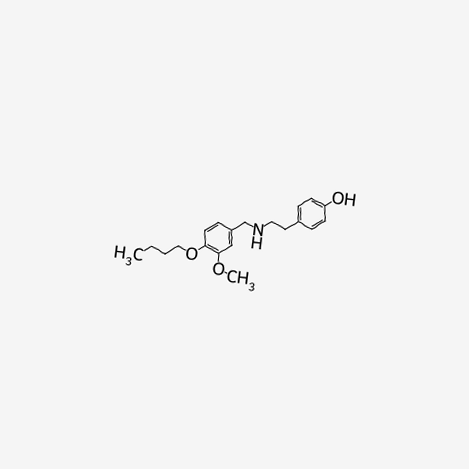 CCCCOc1ccc(CNCCc2ccc(O)cc2)cc1OC